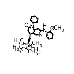 COc1ccccc1Nc1cc2c(cn1)c(C#C[Si](C(C)C)(C(C)C)C(C)C)cc(=O)n2-c1ccccc1